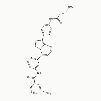 COCCC(=O)Nc1ccc(-c2cnn3c(-c4cccc(NC(=O)c5cccc(C(F)(F)F)c5)c4)ccnc23)cc1